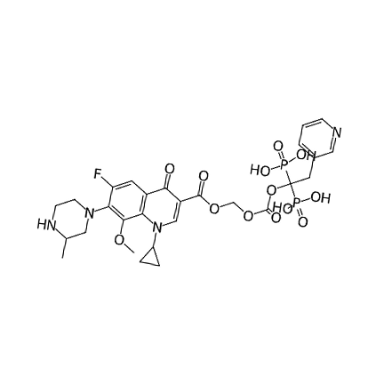 COc1c(N2CCNC(C)C2)c(F)cc2c(=O)c(C(=O)OCOC(=O)OC(Cc3cccnc3)(P(=O)(O)O)P(=O)(O)O)cn(C3CC3)c12